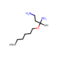 CCCCCCCCCCCCCCOC(N)(CCC)CCN